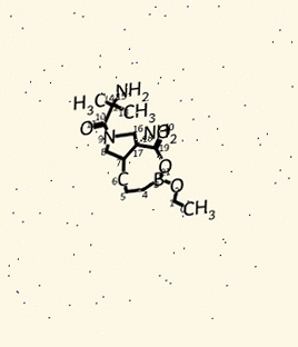 CCOB1CCCC2CN(C(=O)C(C)(C)N)C[C@@]2(N)C(=O)O1